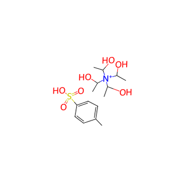 CC(O)[N+](C(C)O)(C(C)O)C(C)O.Cc1ccc(S(=O)(=O)O)cc1